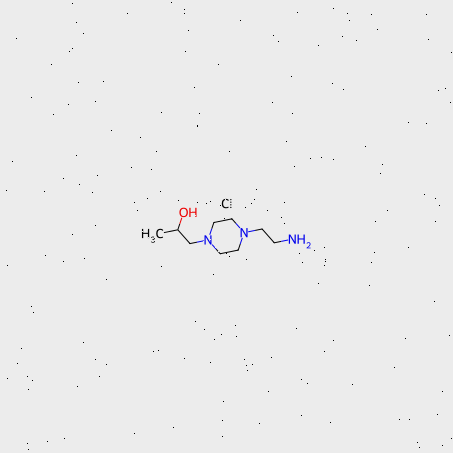 CC(O)CN1CCN(CCN)CC1.[C]